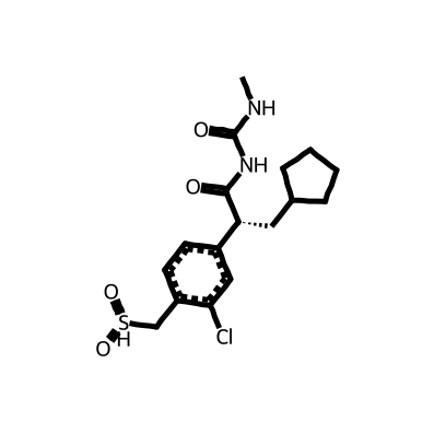 CNC(=O)NC(=O)[C@H](CC1CCCC1)c1ccc(C[SH](=O)=O)c(Cl)c1